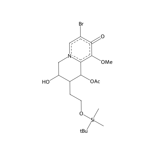 COc1c2n(cc(Br)c1=O)CC(O)C(CCO[Si](C)(C)C(C)(C)C)C2OC(C)=O